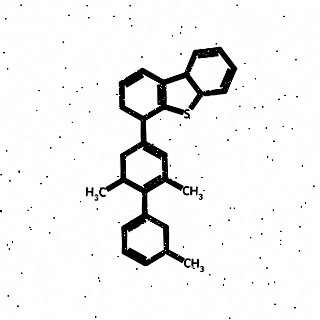 CC1=C(C2=CC=CC(C)C2)C(C)CC(C2CC=CC3=C2SC2C=CC=CC32)=C1